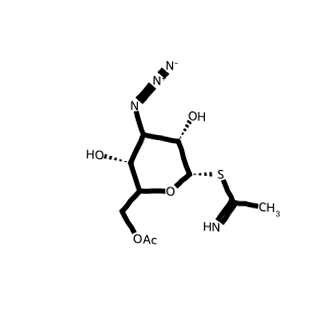 CC(=N)S[C@@H]1OC(COC(C)=O)[C@H](O)C(N=[N+]=[N-])[C@@H]1O